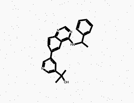 CC(Nc1ncnc2ccc(-c3cncc(C(C)(C)O)c3)cc12)c1ccccc1